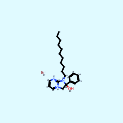 CCCCCCCCCCCN1c2nccc[n+]2CC1(O)c1ccccc1.[Br-]